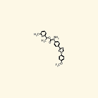 Cc1cccc(C(C)OC(=O)N(N)c2ccc(-c3ncn(-c4ccc(OC(F)(F)F)cc4)n3)cc2)n1